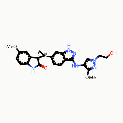 COc1ccc2c(c1)[C@]1(C[C@H]1c1ccc3c(Nc4cn(CCO)nc4OC)n[nH]c3c1)C(=O)N2